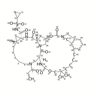 C=CC(=O)N1CCCCC[C@@H]2C[C@@]2(C(=O)NS(=O)(=O)C2CC2)NC(=O)[C@@H]2C[C@@H]3CN2C(=O)[C@H](C1)NC(=O)OCC(C)(C)CCCCc1cccc2c1CN(C2)C(=O)O3